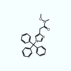 CON(C)C(=O)Cc1cn(C(c2ccccc2)(c2ccccc2)c2ccccc2)cn1